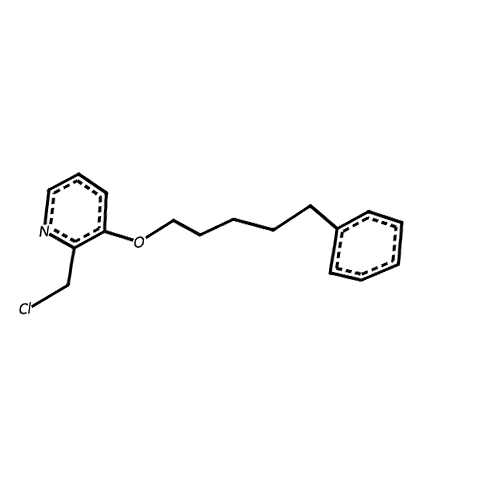 ClCc1ncccc1OCCCCCc1ccccc1